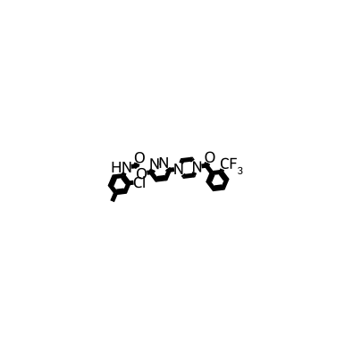 Cc1ccc(NC(=O)Oc2ccc(N3CCN(C(=O)c4ccccc4C(F)(F)F)CC3)nn2)c(Cl)c1